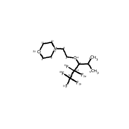 CC(C)C(OCCN1CCOCC1)C(F)(F)C(F)(F)F